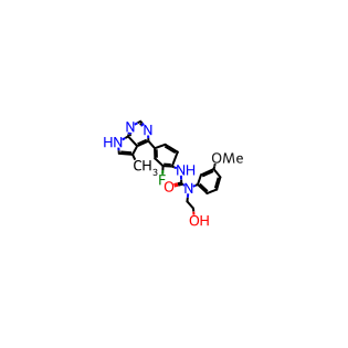 COc1cccc(N(CCO)C(=O)Nc2ccc(-c3ncnc4[nH]cc(C)c34)cc2F)c1